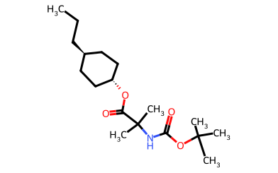 CCC[C@H]1CC[C@H](OC(=O)C(C)(C)NC(=O)OC(C)(C)C)CC1